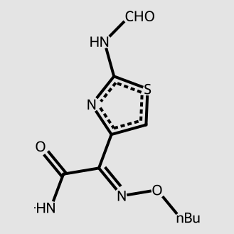 CCCCO/N=C(/C([NH])=O)c1csc(NC=O)n1